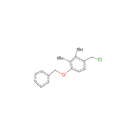 CC(C)(C)c1c(CCl)ccc(OCc2ccccc2)c1C(C)(C)C